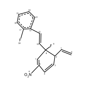 C=CC1C=CC([N+](=O)[O-])=CC1(F)C=Cc1ccccc1F